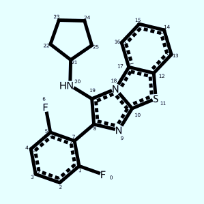 Fc1cccc(F)c1-c1nc2sc3ccccc3n2c1NC1CCCC1